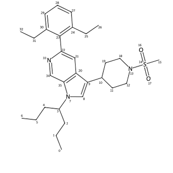 CCCC(CCC)n1cc(C2CCN(S(C)(=O)=O)CC2)c2cc(-c3c(CC)cccc3CC)ncc21